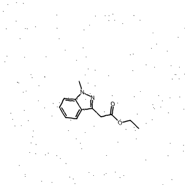 CCOC(=O)Cc1nn(C)c2ccccc12